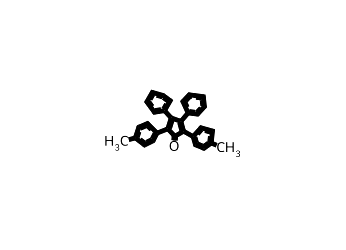 Cc1ccc(C2=C(c3ccccc3)C(c3ccccc3)=C(c3ccc(C)cc3)C2=O)cc1